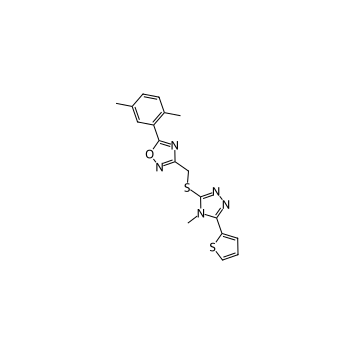 Cc1ccc(C)c(-c2nc(CSc3nnc(-c4cccs4)n3C)no2)c1